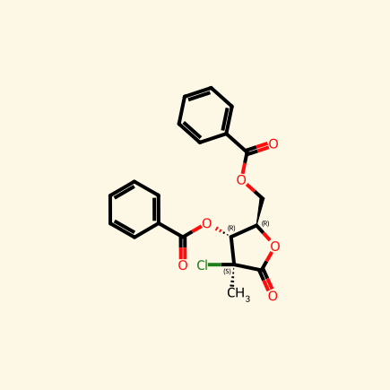 C[C@@]1(Cl)C(=O)O[C@H](COC(=O)c2ccccc2)[C@H]1OC(=O)c1ccccc1